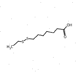 C[CH]SSCCCCCCC(=O)O